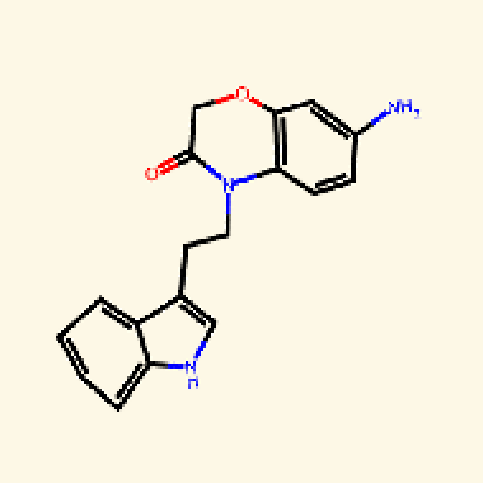 Nc1ccc2c(c1)OCC(=O)N2CCc1c[nH]c2ccccc12